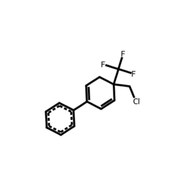 FC(F)(F)C1(CCl)C=CC(c2ccccc2)=CC1